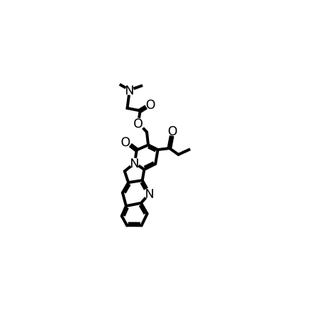 CCC(=O)c1cc2n(c(=O)c1COC(=O)CN(C)C)Cc1cc3ccccc3nc1-2